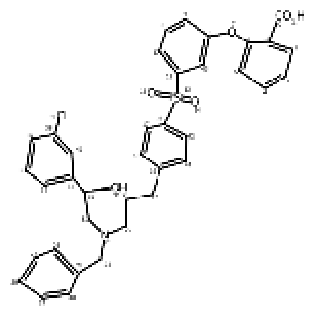 O=C(O)c1ccccc1Oc1cccc(S(=O)(=O)c2ccc(CCCN(Cc3ccccc3)C[C@H](O)c3cccc(Cl)c3)cc2)c1